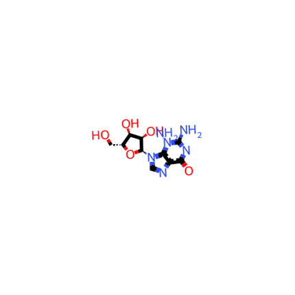 Nc1nc(=O)c2ncn([C@@H]3O[C@H](CO)[C@@H](O)[C@H]3O)c2n1N